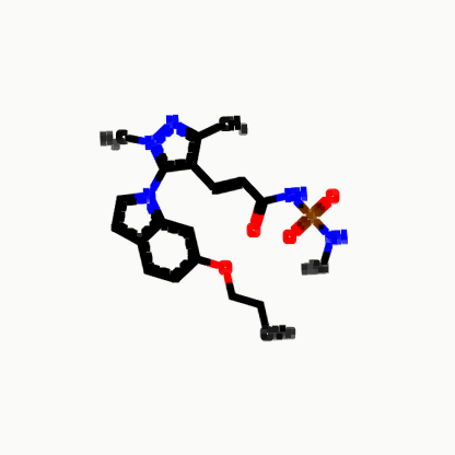 CCCCNS(=O)(=O)NC(=O)C=Cc1c(C)nn(C)c1-n1ccc2ccc(OCCOC)cc21